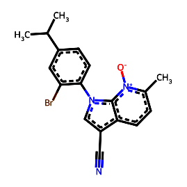 Cc1ccc2c(C#N)cn(-c3ccc(C(C)C)cc3Br)c2[n+]1[O-]